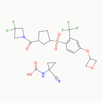 N#CC1(NC(=O)O)CC1.O=C(C1CCC(S(=O)(=O)c2ccc(OC3COC3)cc2C(F)(F)F)C1)N1CC(F)(F)C1